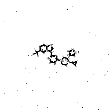 FC(F)(F)c1ccc2ncc(-c3nccc(N4CCN(C5CC5)[C@H](c5cn[nH]c5)C4)n3)n2c1